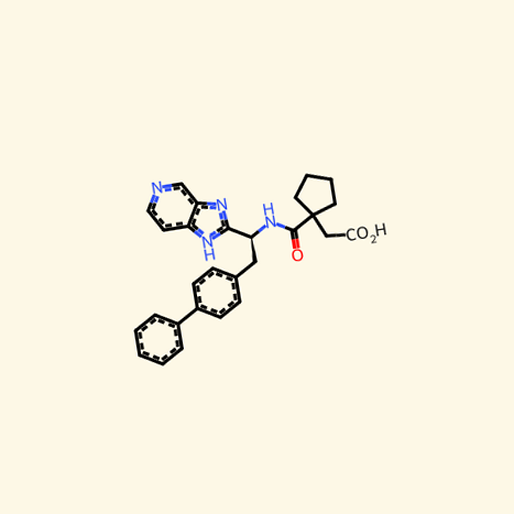 O=C(O)CC1(C(=O)N[C@@H](Cc2ccc(-c3ccccc3)cc2)c2nc3cnccc3[nH]2)CCCC1